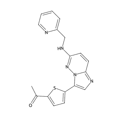 CC(=O)c1ccc(-c2cnc3ccc(NCc4ccccn4)nn23)s1